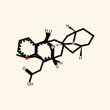 CCC1C[C@@H]2CC(N3[C@@H]4CCC[C@H]3C[C@@H](n3c(=O)c5ccccc5n(CC(=O)O)c3=O)C4)C[C@H](C1)C2